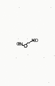 O=C=NCCCCC1CCCC(CN=C=O)C1